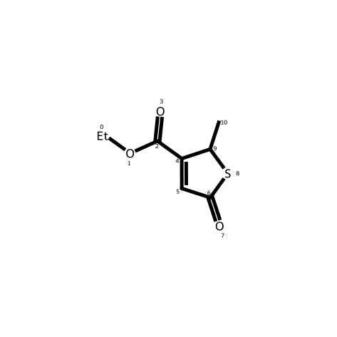 CCOC(=O)C1=CC(=O)SC1C